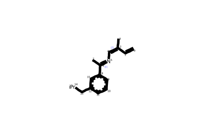 C=C/C(C)=C\N=C(/C)c1cccc(CC(C)C)c1